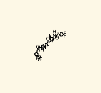 CC(F)(F)Oc1cccc(CNC(=O)c2cn(CC(F)CCn3ccc(NC(=O)CN4CCC(F)(F)CC4)c(F)c3=O)nn2)c1